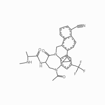 CNC(C)C(=O)NC1CN(C(C)=O)c2cc(C(F)(F)F)ccc2N(Cc2c(C3CC3)ccc3c(C#N)cccc23)C1=O